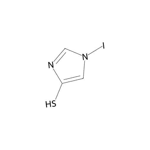 Sc1cn(I)cn1